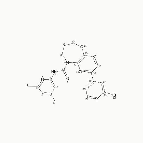 Cc1cc(C)nc(NC(=O)N2CCCOc3ccc(-c4cccc(Cl)c4)nc32)c1